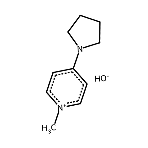 C[n+]1ccc(N2CCCC2)cc1.[OH-]